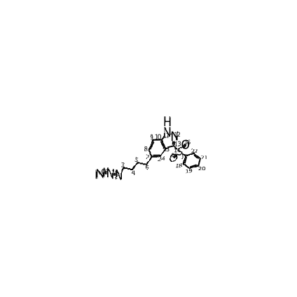 [N-]=[N+]=NCCCCc1ccc2[nH]nc(S(=O)(=O)c3ccccc3)c2c1